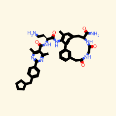 Cc1cc2cc(c1NC(=O)[C@H](CCN)NC(=O)c1c(C)nc(-c3ccc(CC4CCCC4)cc3)nc1C)-c1cccc(c1)CC(=O)NCC(=O)NC(C(N)=O)C2